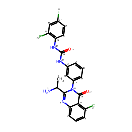 CC(N)c1nc2cccc(Cl)c2c(=O)n1-c1cccc(NC(=O)Nc2ccc(F)cc2F)c1